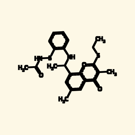 CCSc1oc2c(C(C)Nc3ccccc3SNC(C)=O)cc(C)cc2c(=O)c1C